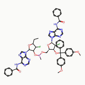 CCC1OC(n2cnc3c(NC(=O)c4ccccc4)ncnc32)C(OP(C)OC[C@H]2O[C@@H](n3cnc4c(NC(=O)c5ccccc5)ncnc43)C(F)[C@H]2OC(c2ccccc2)(c2ccc(OC)cc2)c2ccc(OC)cc2)C1F